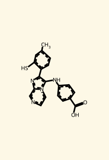 Cc1ccc(-c2nc3cnccn3c2Nc2ccc(C(=O)O)cc2)c(S)c1